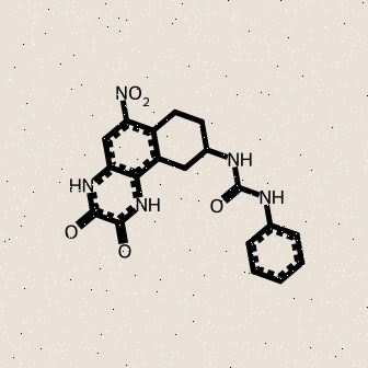 O=C(Nc1ccccc1)NC1CCc2c([N+](=O)[O-])cc3[nH]c(=O)c(=O)[nH]c3c2C1